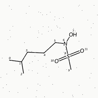 CC(C)CCCN(O)S(C)(=O)=O